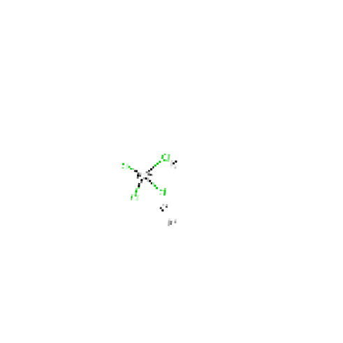 [Cl][Pt-3]([Cl])([Cl])[Cl].[K+].[K+].[K+]